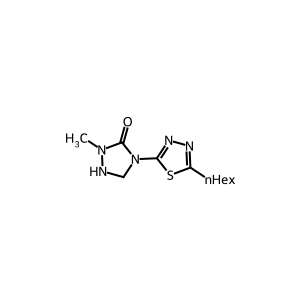 CCCCCCc1nnc(N2CNN(C)C2=O)s1